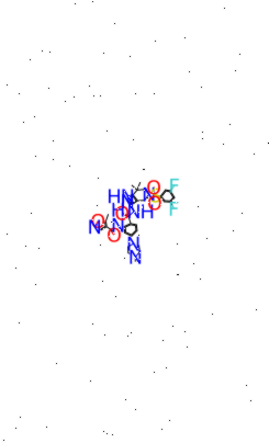 Cc1oncc1C(=O)Nc1cc(N2CCN(C)CC2)ccc1C(=O)Nc1n[nH]c2c1CN(S(=O)(=O)c1cc(F)cc(F)c1)CC2(C)C